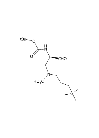 CC(C)(C)OC(=O)N[C@@H](C=O)CN(CCC[Si](C)(C)C)C(=O)O